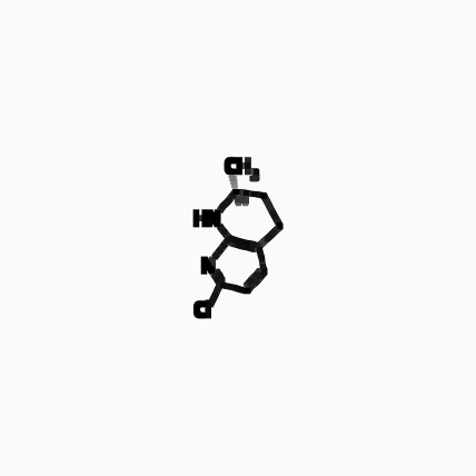 C[C@@H]1CCc2ccc(Cl)nc2N1